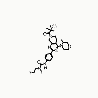 CC1COCCN1c1nc(-c2ccc(NC(=O)N(I)CCF)cc2)nc2c1CCN(C(=O)C(C)(C)O)C2